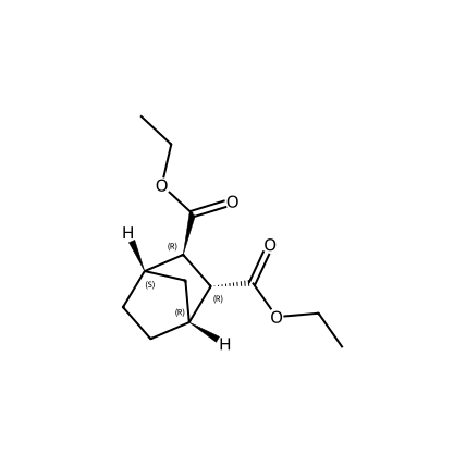 CCOC(=O)[C@@H]1[C@@H]2CC[C@@H](C2)[C@H]1C(=O)OCC